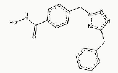 O=C(NO)c1ccc(Cn2nnc(Cc3ccccc3)n2)cc1